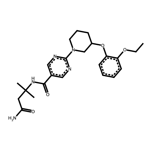 CCOc1ccccc1OC1CCCN(c2ncc(C(=O)NC(C)(C)CC(N)=O)cn2)C1